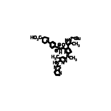 Cc1cc(N(C)c2ccc(-c3cnn(CC(C)(C)C)c3C)c(C(=O)NS(=O)(=O)c3ccc(N4CCC(C(=O)O)CC4)cc3)n2)nnc1Nc1nc2cccnc2s1